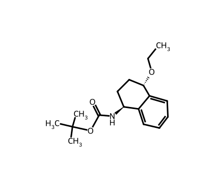 CCO[C@H]1CC[C@H](NC(=O)OC(C)(C)C)c2ccccc21